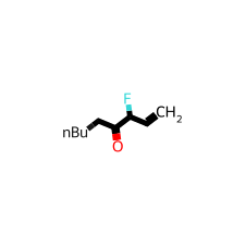 C=CC(F)C(=O)CCCCC